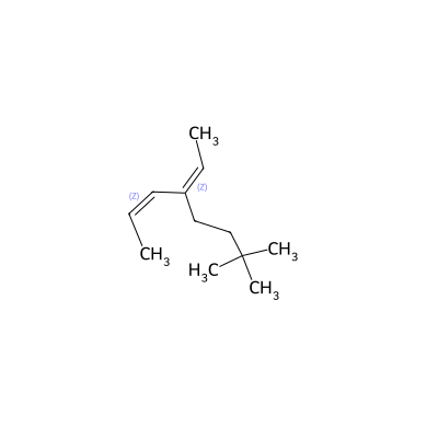 C/C=C\C(=C/C)CCC(C)(C)C